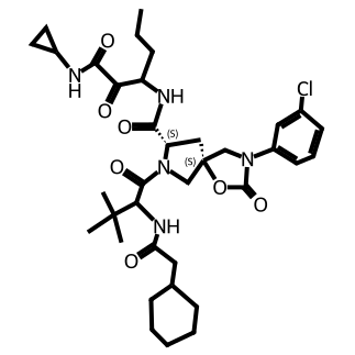 CCCC(NC(=O)[C@@H]1C[C@@]2(CN(c3cccc(Cl)c3)C(=O)O2)CN1C(=O)C(NC(=O)CC1CCCCC1)C(C)(C)C)C(=O)C(=O)NC1CC1